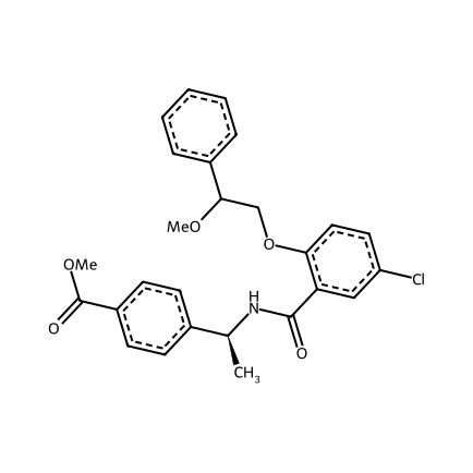 COC(=O)c1ccc([C@H](C)NC(=O)c2cc(Cl)ccc2OCC(OC)c2ccccc2)cc1